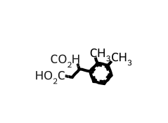 Cc1cccc(C(CC(=O)O)C(=O)O)c1C